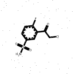 NS(=O)(=O)c1ccc(F)c(C(=O)CCl)c1